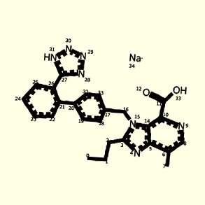 CCCc1nc2c(C)cnc(C(=O)O)c2n1Cc1ccc(-c2ccccc2-c2nnn[nH]2)cc1.[Na]